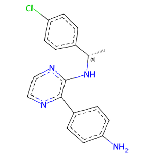 C[C@H](Nc1nccnc1-c1ccc(N)cc1)c1ccc(Cl)cc1